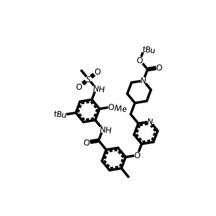 COc1c(NC(=O)c2ccc(C)c(Oc3ccnc(CC4CCN(C(=O)OC(C)(C)C)CC4)c3)c2)cc(C(C)(C)C)cc1NS(C)(=O)=O